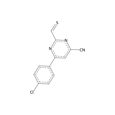 N#Cc1cc(-c2ccc(Cl)cc2)nc(C=S)n1